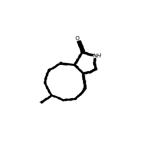 CC1CCCC2CNC(=O)C2CCC1